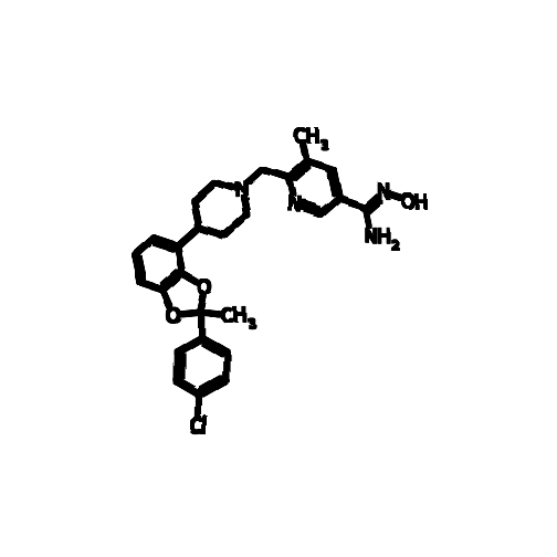 Cc1cc(C(N)=NO)cnc1CN1CCC(c2cccc3c2OC(C)(c2ccc(Cl)cc2)O3)CC1